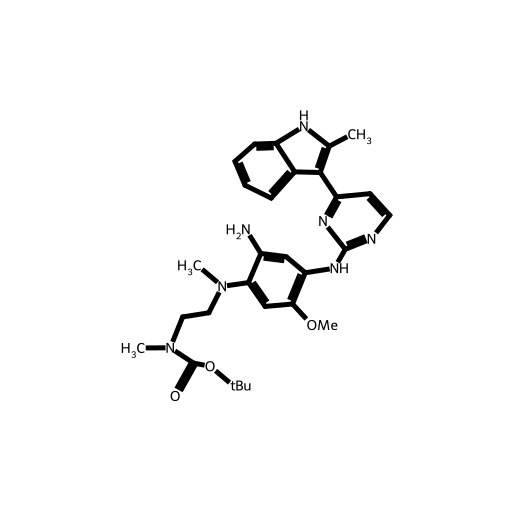 COc1cc(N(C)CCN(C)C(=O)OC(C)(C)C)c(N)cc1Nc1nccc(-c2c(C)[nH]c3ccccc23)n1